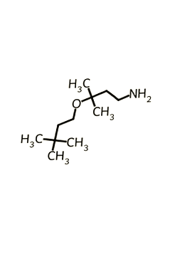 CC(C)(C)CCOC(C)(C)CCN